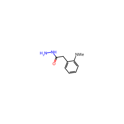 CNc1ccccc1CC(=O)NN